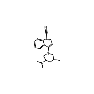 C[C@H]1C[C@@H](N(C)C)CN(c2ccc(C#N)c3ncccc23)C1